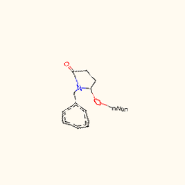 CCCCCCCCCOC1CCC(=O)N1Cc1ccccc1